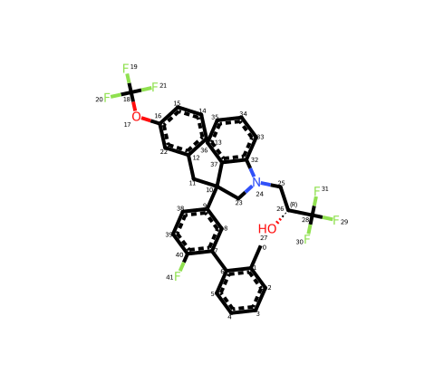 Cc1ccccc1-c1cc(C2(Cc3cccc(OC(F)(F)F)c3)CN(C[C@@H](O)C(F)(F)F)c3ccccc32)ccc1F